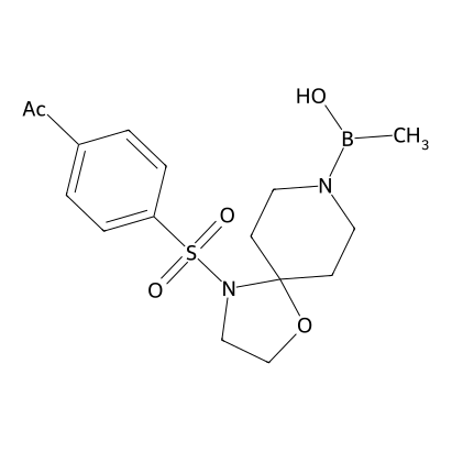 CB(O)N1CCC2(CC1)OCCN2S(=O)(=O)c1ccc(C(C)=O)cc1